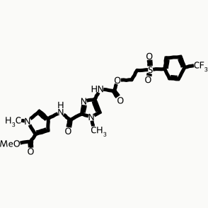 COC(=O)c1cc(NC(=O)c2nc(NC(=O)OCCS(=O)(=O)c3ccc(C(F)(F)F)cc3)cn2C)cn1C